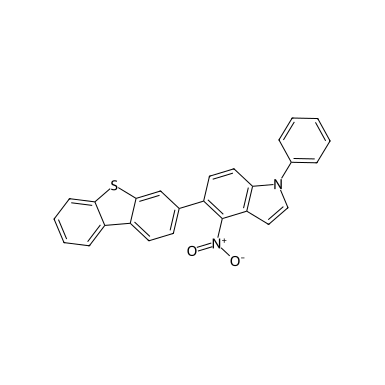 O=[N+]([O-])c1c(-c2ccc3c(c2)sc2ccccc23)ccc2c1ccn2-c1ccccc1